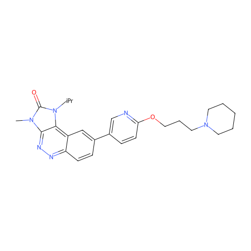 CC(C)n1c(=O)n(C)c2nnc3ccc(-c4ccc(OCCCN5CCCCC5)nc4)cc3c21